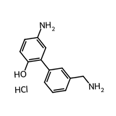 Cl.NCc1cccc(-c2cc(N)ccc2O)c1